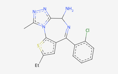 CCc1cc2c(s1)-n1c(C)nnc1C(N)N=C2c1ccccc1Cl